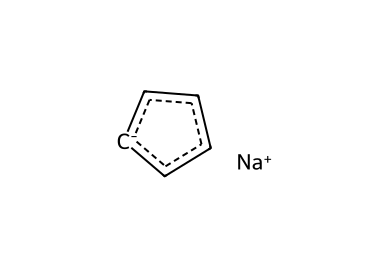 [Na+].c1cc[cH-]c1